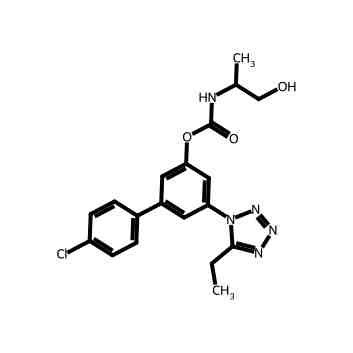 CCc1nnnn1-c1cc(OC(=O)NC(C)CO)cc(-c2ccc(Cl)cc2)c1